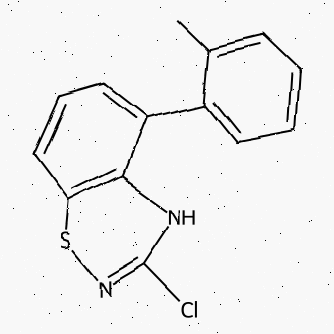 Cc1ccccc1-c1cccc2c1NC(Cl)=NS2